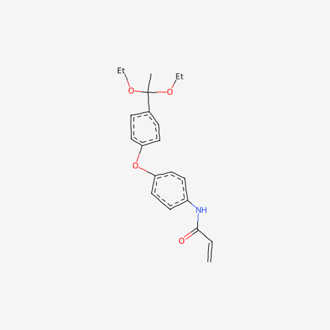 C=CC(=O)Nc1ccc(Oc2ccc(C(C)(OCC)OCC)cc2)cc1